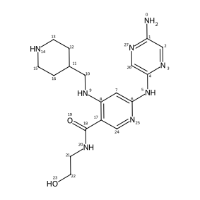 Nc1cnc(Nc2cc(NCC3CCNCC3)c(C(=O)NCCO)cn2)cn1